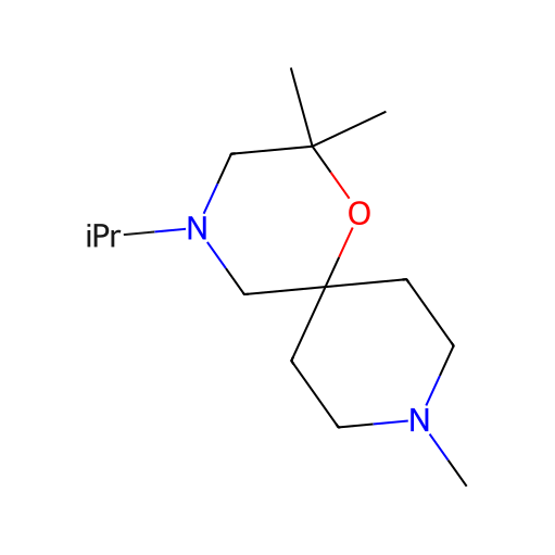 CC(C)N1CC(C)(C)OC2(CCN(C)CC2)C1